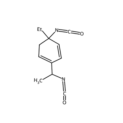 CCC1(N=C=O)C=CC(C(C)N=C=O)=CC1